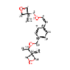 CCC1(CO/C=C\c2ccc(COC(C)C3(CC)COC3)cc2)COC1